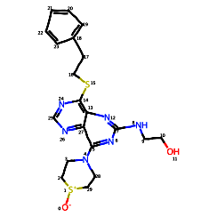 [O-][S+]1CCN(c2nc(NCCO)nc3c(SCCc4ccccc4)ncnc23)CC1